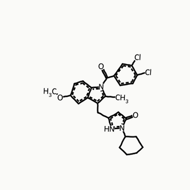 COc1ccc2c(c1)c(Cc1cc(=O)n(C3CCCCC3)[nH]1)c(C)n2C(=O)c1ccc(Cl)c(Cl)c1